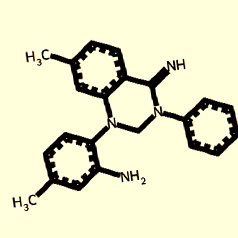 Cc1ccc(N2CN(c3ccccc3)C(=N)c3ccc(C)cc32)c(N)c1